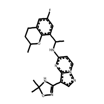 CC1CCc2cc(F)cc(C(C)Nc3ccn4ncc(C5=NOC(C)(C)N5)c4n3)c2O1